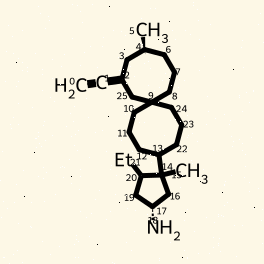 C=C=C1C[C@@H](C)CCCC2(CCCC(C3(C)C[C@H](N)CC3CC)CCC2)C1